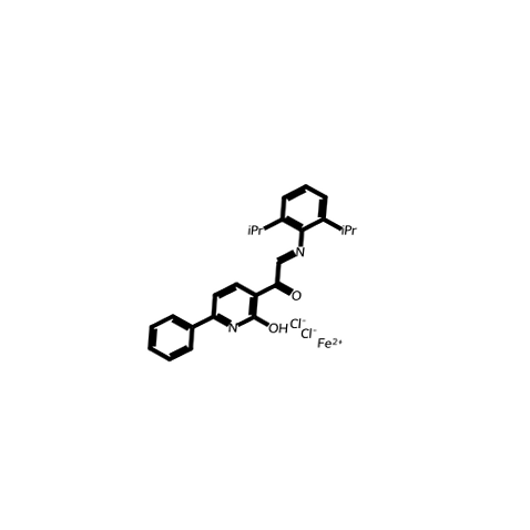 CC(C)c1cccc(C(C)C)c1N=CC(=O)c1ccc(-c2ccccc2)nc1O.[Cl-].[Cl-].[Fe+2]